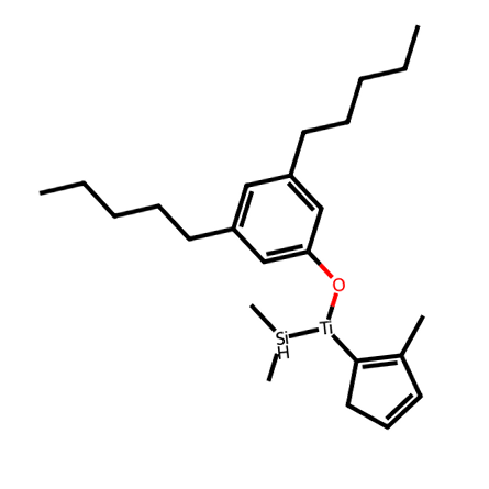 CCCCCc1cc(CCCCC)cc([O][Ti]([C]2=C(C)C=CC2)[SiH](C)C)c1